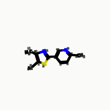 CC(=O)c1sc(-c2ccc(C)nc2)nc1C